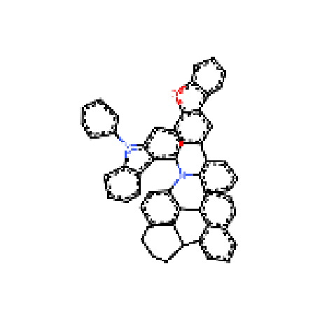 c1ccc(-n2c3ccccc3c3c(N(c4ccccc4-c4ccc5oc6ccccc6c5c4)c4ccccc4-c4cccc5cccc(C6CCCCC6)c45)cccc32)cc1